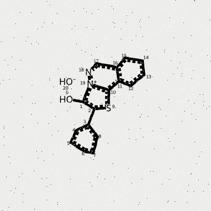 Oc1c(-c2ccccc2)sc2c3ccccc3cn[n+]12.[OH-]